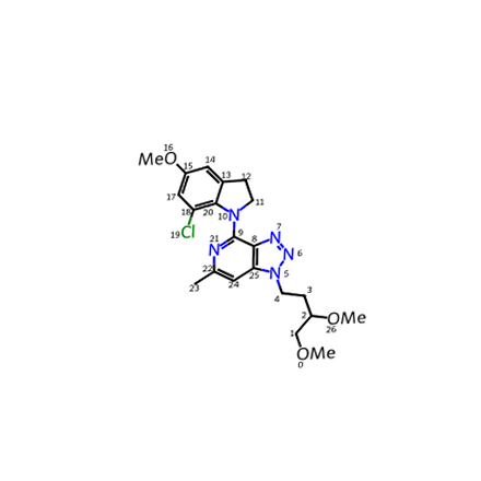 COCC(CCn1nnc2c(N3CCc4cc(OC)cc(Cl)c43)nc(C)cc21)OC